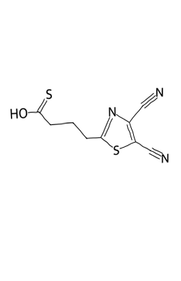 N#Cc1nc(CCCC(O)=S)sc1C#N